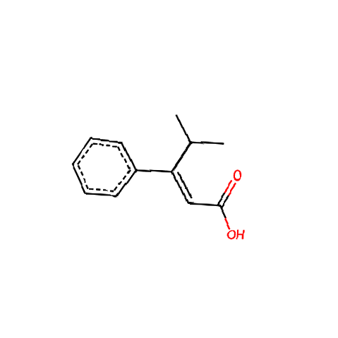 CC(C)/C(=C\C(=O)O)c1ccccc1